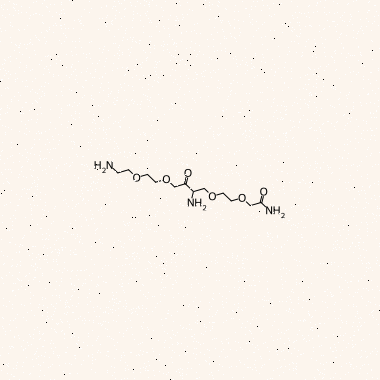 NCCOCCOCC(=O)C(N)COCCOCC(N)=O